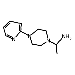 CC(N)N1CCN(c2ccccn2)CC1